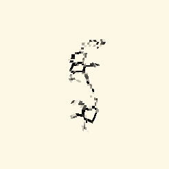 CCCc1c(OCCCOc2c(C(C)=O)cc3c(c2CCC)OC(OC(=O)O)CC3)ccc(C(C)=O)c1O